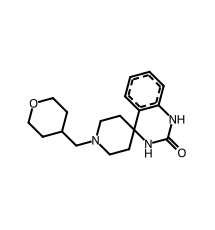 O=C1Nc2ccccc2C2(CCN(CC3CCOCC3)CC2)N1